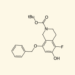 CC(C)(C)OC(=O)N1CCc2c(F)c(O)cc(OCc3ccccc3)c2C1